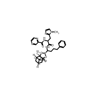 Cn1ccnc1CC(NC(=O)c1cnccn1)C(=O)NC(CCCc1ccccc1)B1O[C@@H]2C[C@@H]3C[C@@H](C3(C)C)[C@]2(C)O1